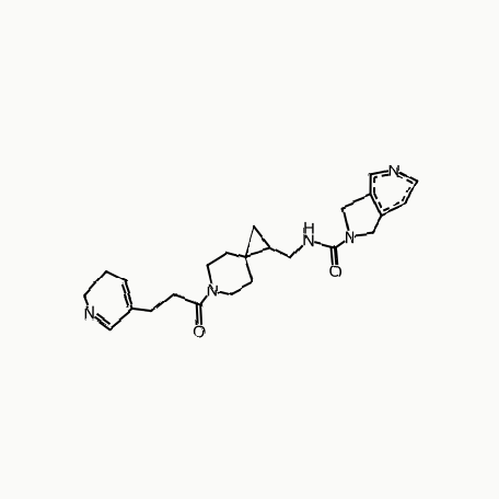 O=C(CCC1=CCCN=C1)N1CCC2(CC1)CC2CNC(=O)N1Cc2ccncc2C1